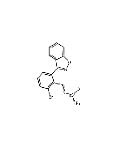 CC(C)(C)[S@+]([O-])N=Cc1c(Br)cccc1-c1noc2ccccc12